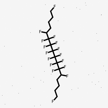 FCCCCC(F)C(F)(F)C(F)(F)C(F)(F)C(F)(F)C(F)(F)C(F)(F)C(F)CCCCF